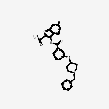 NC(=O)c1oc2cc(Cl)ccc2c1NC(=O)c1cccc(OC2CCN(Cc3ccccc3)CC2)c1